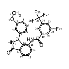 COc1cccc(C2NC(=O)c3cccc(NC(=O)c4cc(F)cc(C(F)(F)F)c4)c32)c1